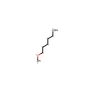 [CH2]CCOCCCCCOC